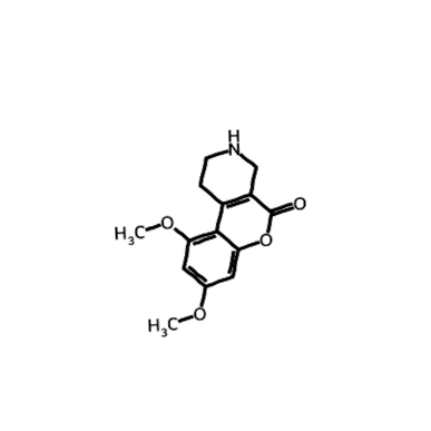 COc1cc(OC)c2c3c(c(=O)oc2c1)CNCC3